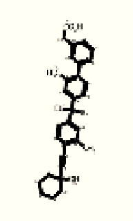 CCC(CC)(c1ccc(C#CC2(O)CCCCC2)c(C)c1)c1ccc(-c2cccc(CC(=O)O)c2)c(C)c1